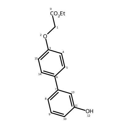 CCOC(=O)COc1ccc(-c2cccc(O)c2)cc1